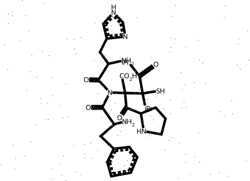 CC(C)C(=O)C(S)(C(C)C)C(C(=O)O)(C(=O)C1CCCN1)N(C(=O)C(N)Cc1[c]cccc1)C(=O)C(N)Cc1c[nH]cn1